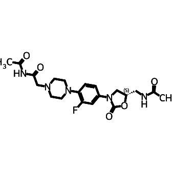 CC(=O)NC[C@H]1CN(c2ccc(N3CCN(CC(=O)NC(C)=O)CC3)c(F)c2)C(=O)O1